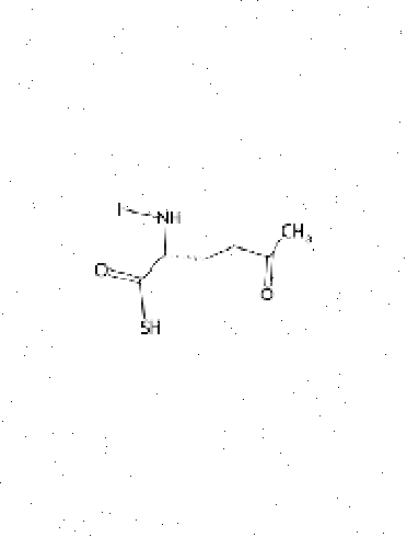 CC(=O)CC[C@@H](NI)C(=O)S